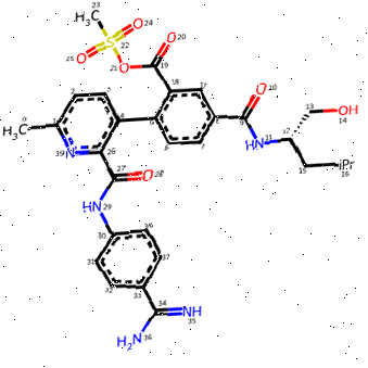 Cc1ccc(-c2ccc(C(=O)N[C@H](CO)CC(C)C)cc2C(=O)OS(C)(=O)=O)c(C(=O)Nc2ccc(C(=N)N)cc2)n1